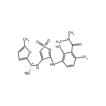 Cc1ccc([C@H](NC2=CS(=O)(=O)N=C2Nc2ccc(C(F)(F)F)c(C(=O)N(C)C)c2O)C(C)(C)C)o1